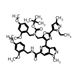 CCn1nc(C)cc1-c1nc(-c2nc(C(=O)NCc3ccc(OC)cc3OC)cc3c2cnn3C)c(CN(Cc2ccc(OC)cc2OC)C(=O)OC(C)(C)C)o1